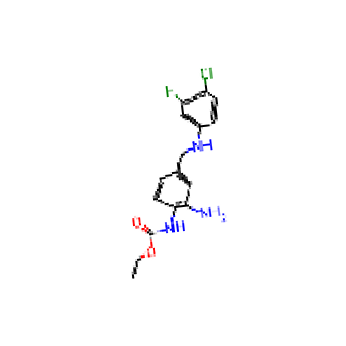 CCOC(=O)Nc1ccc(CNc2ccc(Cl)c(F)c2)cc1N